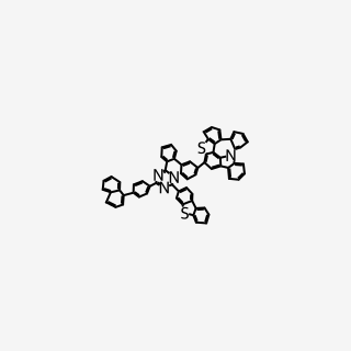 c1cc(-c2ccccc2-c2nc(-c3ccc(-c4cccc5ccccc45)cc3)nc(-c3ccc4c(c3)sc3ccccc34)n2)cc(-c2cc3c4ccccc4n4c5ccccc5c5cccc6sc2c(c65)c34)c1